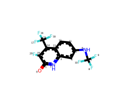 O=c1[nH]c2cc(NC(F)(F)F)ccc2c(C(F)(F)F)c1F